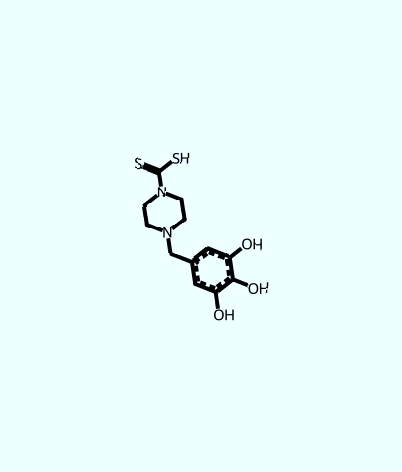 Oc1cc(CN2CCN(C(=S)S)CC2)cc(O)c1O